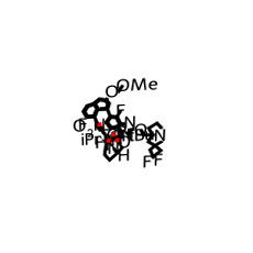 COCOc1cc(-c2c([N+](=O)[O-])cc3c(N4C[C@H]5CC[C@@H](C4)N5C(=O)OC(C)(C)C)nc(OCC45CCCN4CC4(CC(F)(F)C4)C5)nc3c2F)c2c(C#C[Si](C(C)C)(C(C)C)C(C)C)c(F)ccc2c1